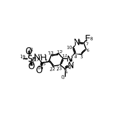 Cc1nn(-c2ccc(F)nc2)c2ccc(C(=O)NS(C)(=O)=O)cc12